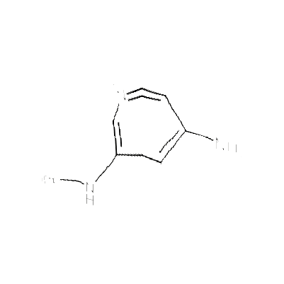 CC(C)Nc1cncc(N)c1